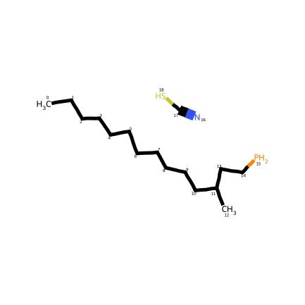 CCCCCCCCCCCC(C)CCP.N#CS